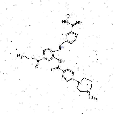 CCOC(=O)c1ccc(/C=C/c2cccc(C(=N)NO)c2)c(NC(=O)c2ccc(N3CCCN(C)CC3)cc2)c1